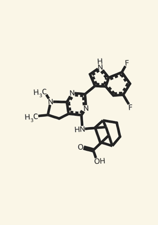 CC1Cc2c(NC3C4CCC(CC4)C3C(=O)O)nc(-c3c[nH]c4c(F)cc(F)cc34)nc2N1C